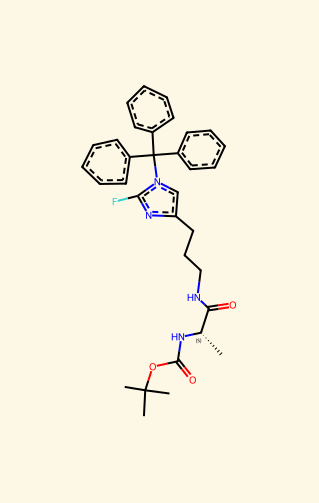 C[C@H](NC(=O)OC(C)(C)C)C(=O)NCCCc1cn(C(c2ccccc2)(c2ccccc2)c2ccccc2)c(F)n1